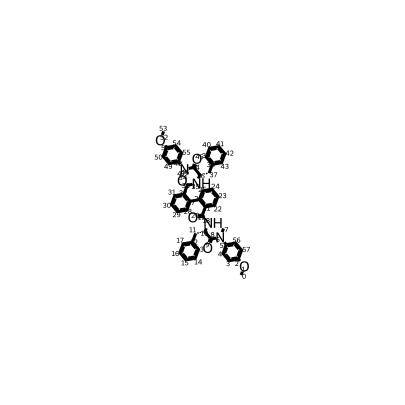 COc1ccc(N(C)C(=O)[C@H](Cc2ccccc2)NC(=O)c2ccccc2-c2ccccc2C(=O)N[C@@H](Cc2ccccc2)C(=O)N(C)c2ccc(OC)cc2)cc1